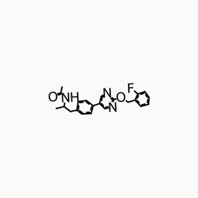 CC(=O)NC(C)Cc1ccc(-c2cnc(OCc3ccccc3F)nc2)cc1